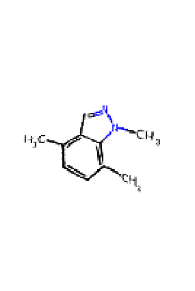 Cc1ccc(C)c2c1cnn2C